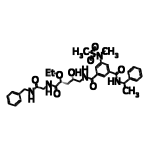 CCO[C@H](C[C@H](O)CNC(=O)c1cc(C(=O)N[C@H](C)c2ccccc2)cc(N(C)S(C)(=O)=O)c1)C(=O)NCC(=O)NCc1ccccc1